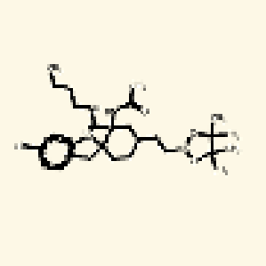 CCCCNC(=O)C1(NC(C)=O)CC(CCB2OC(C)(C)C(C)(C)O2)CCC1(Cc1ccc(Cl)cc1)OC(C)=O